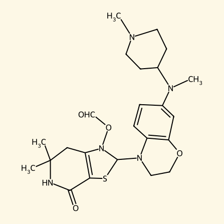 CN1CCC(N(C)c2ccc3c(c2)OCCN3C2SC3=C(CC(C)(C)NC3=O)N2OC=O)CC1